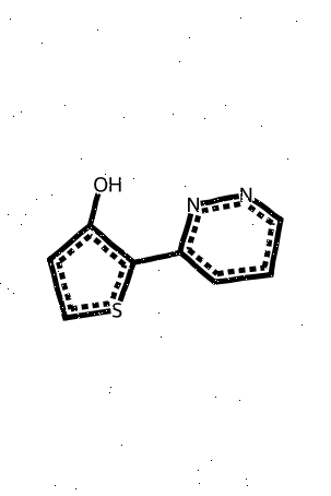 Oc1ccsc1-c1cccnn1